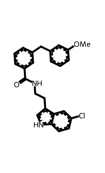 COc1cccc(Cc2cccc(C(=O)NCCc3c[nH]c4ccc(Cl)cc34)c2)c1